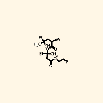 CCC(C)(C)CC(C(=O)OC(C)(CC)CC(=O)OCCF)C(C)C